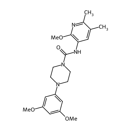 COc1cc(OC)cc(N2CCN(C(=O)Nc3cc(C)c(C)nc3OC)CC2)c1